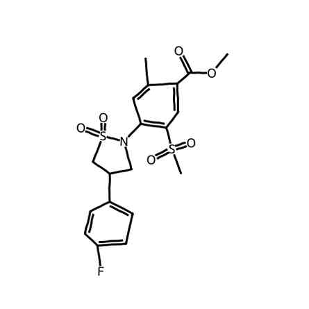 COC(=O)c1cc(S(C)(=O)=O)c(N2CC(c3ccc(F)cc3)CS2(=O)=O)cc1C